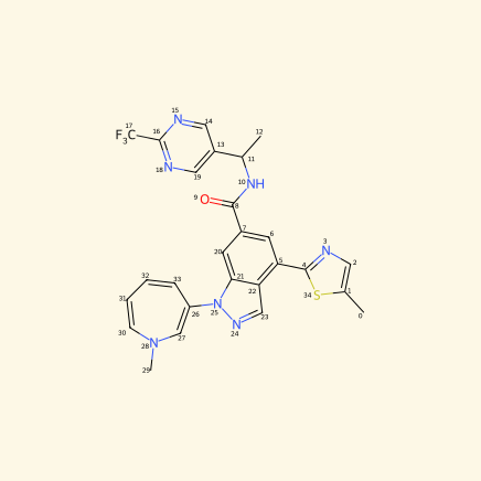 Cc1cnc(-c2cc(C(=O)NC(C)c3cnc(C(F)(F)F)nc3)cc3c2cnn3C2=CN(C)C=CC=C2)s1